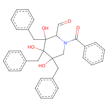 O=CC1N(C(=O)c2ccccc2)CC(O)(Cc2ccccc2)C(O)(Cc2ccccc2)C1(O)Cc1ccccc1